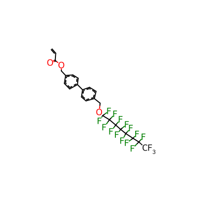 C=CC(=O)OCc1ccc(-c2ccc(COC(F)(F)C(F)(F)C(F)(F)C(F)(F)C(F)(F)C(F)(F)C(F)(F)C(F)(F)F)cc2)cc1